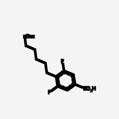 CCCCCCCCCCCCCCCc1c(F)cc(S(=O)(=O)O)cc1F